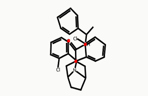 CC(NC(=O)C1CC2CCC(C1)N2C(c1ccccc1Cl)c1ccccc1Cl)c1ccccc1